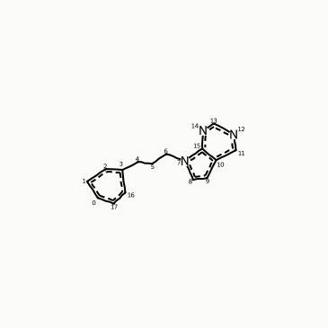 c1ccc(CCCn2ccc3cncnc32)cc1